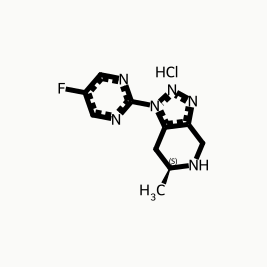 C[C@H]1Cc2c(nnn2-c2ncc(F)cn2)CN1.Cl